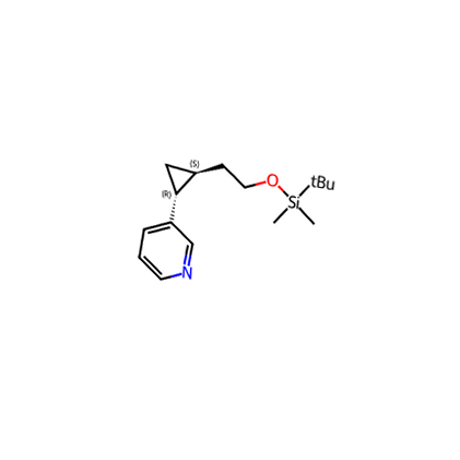 CC(C)(C)[Si](C)(C)OCC[C@@H]1C[C@H]1c1cccnc1